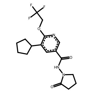 O=C(NN1CCCC1=O)c1cnc(OCC(F)(F)F)c(C2CCCC2)c1